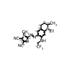 CCN1c2cc(NCC(F)(F)F)c(N=Nc3nc(C#N)c(C#N)n3C)cc2CCC1C